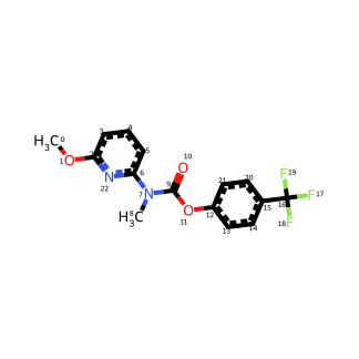 COc1cccc(N(C)C(=O)Oc2ccc(C(F)(F)F)cc2)n1